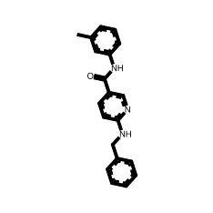 Cc1cccc(NC(=O)c2ccc(NCc3ccccc3)nc2)c1